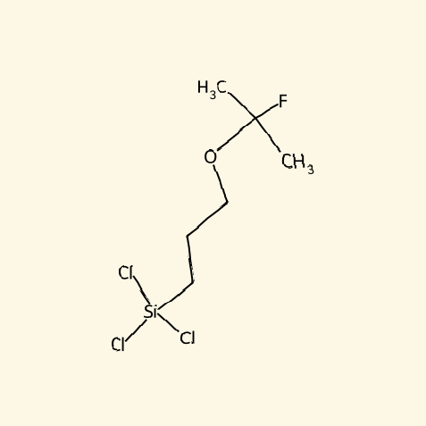 CC(C)(F)OCCC[Si](Cl)(Cl)Cl